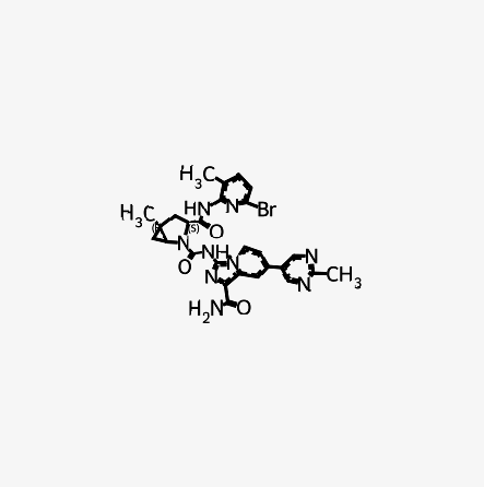 Cc1ncc(-c2ccn3c(NC(=O)N4C5C[C@]5(C)C[C@H]4C(=O)Nc4nc(Br)ccc4C)nc(C(N)=O)c3c2)cn1